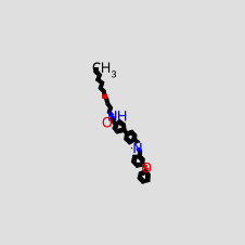 CCCCCCCCCCCCNC(=O)c1ccc(-c2ccc(C[N]Cc3cccc(Oc4ccccc4)c3)cc2)cc1